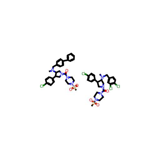 CN(Cc1ccc(-c2ccccc2)cc1)C1CN(C(=O)N2CCN(S(C)(=O)=O)CC2)CC1c1ccc(Cl)cc1.CN(Cc1ccc(Cl)c(Cl)c1)C1CN(C(=O)N2CCN(S(C)(=O)=O)CC2)CC1c1ccc(Cl)cc1